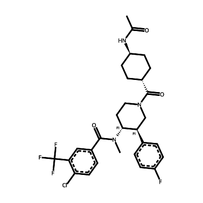 CC(=O)N[C@H]1CC[C@H](C(=O)N2CC[C@@H](N(C)C(=O)c3ccc(Cl)c(C(F)(F)F)c3)[C@H](c3ccc(F)cc3)C2)CC1